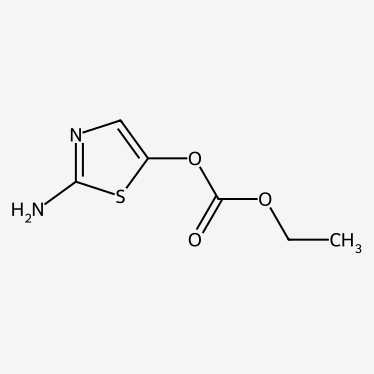 CCOC(=O)Oc1cnc(N)s1